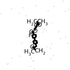 C=C(C)C(=O)Cc1ccc(-c2ccc(C(=O)OCCOC(=O)C(=C)C)c(F)c2)cc1